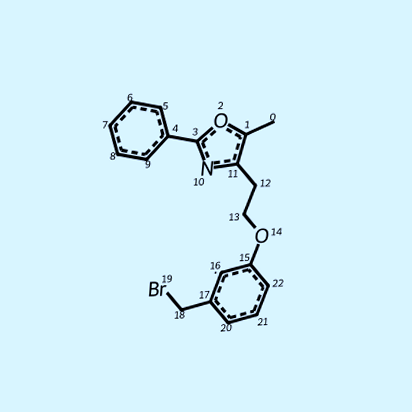 Cc1oc(-c2ccccc2)nc1CCOc1[c]c(CBr)ccc1